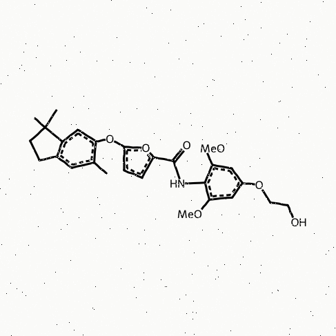 COc1cc(OCCO)cc(OC)c1NC(=O)c1ccc(Oc2cc3c(cc2C)CCC3(C)C)o1